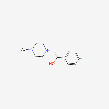 CC(=O)N1CCN(CC(O)c2ccc(F)cc2)CC1